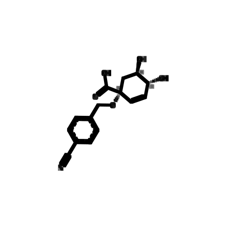 N#Cc1ccc(CO[C@@]2(C(=O)O)C=C[C@@H](O)[C@H](O)C2)cc1